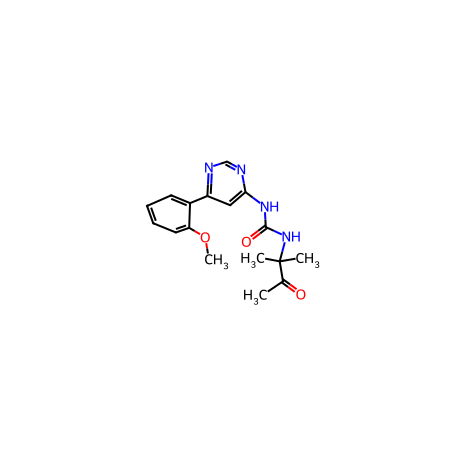 COc1ccccc1-c1cc(NC(=O)NC(C)(C)C(C)=O)ncn1